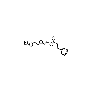 CCOCCOCCOC(=O)C=Cc1ccccc1